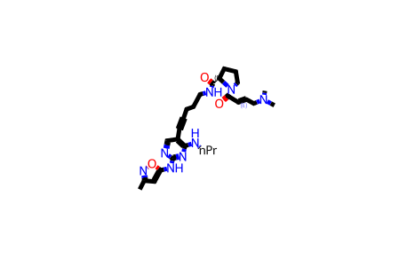 CCCNc1nc(Nc2cc(C)no2)ncc1C#CCCCNC(=O)[C@@H]1CCCN1C(=O)/C=C/CN(C)C